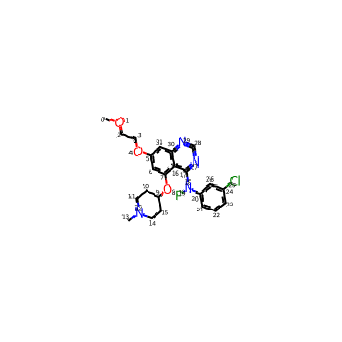 COCCOc1cc(OC2CCN(C)CC2)c2c(N(F)c3cccc(Cl)c3)ncnc2c1